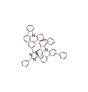 c1ccc(-c2ccc(-n3c4ccccc4c4ccccc43)c(-c3cccc(-c4nc(-c5ccccc5)nc(-c5cccc(-c6cc(-c7ccccc7)ccc6-n6c7ccccc7c7ccccc76)c5)n4)c3)c2)cc1